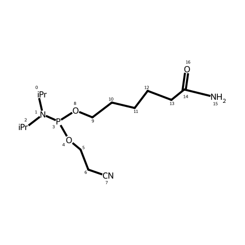 CC(C)N(C(C)C)P(OCCC#N)OCCCCCC(N)=O